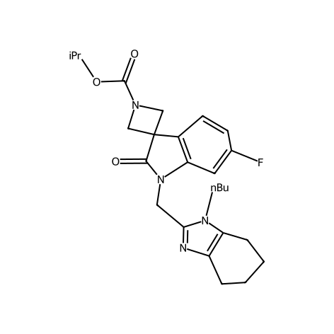 CCCCn1c(CN2C(=O)C3(CN(C(=O)OC(C)C)C3)c3ccc(F)cc32)nc2c1CCCC2